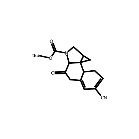 CC(C)(C)OC(=O)N1CC2CC23C2CC=C(C#N)C=C2CC(=O)C13